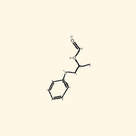 C[C](CSc1ccccc1)O[C]=O